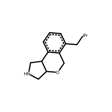 CC(C)Cc1cccc2c1COC1CNCC21